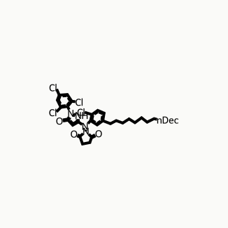 CCCCCCCCCCCCCCCCCCc1ccc(Cl)c(N(c2cc(=O)n(-c3c(Cl)cc(Cl)cc3Cl)[nH]2)N2C(=O)CCC2=O)c1